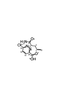 C=CCCC(N)=O.O=C(O)c1ccc(Cl)nn1